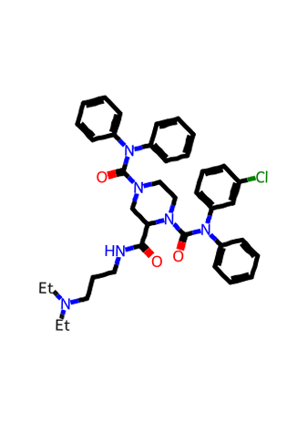 CCN(CC)CCCNC(=O)C1CN(C(=O)N(c2ccccc2)c2ccccc2)CCN1C(=O)N(c1ccccc1)c1cccc(Cl)c1